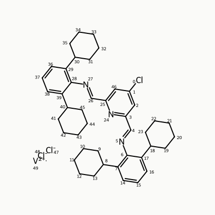 Clc1cc(C=Nc2c(C3CCCCC3)cccc2C2CCCCC2)nc(C=Nc2c(C3CCCCC3)cccc2C2CCCCC2)c1.[Cl-].[Cl-].[V+2]